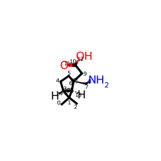 CC1(C)[C@@H]2CC[C@](CN)(CC(=O)O)[C@H]21